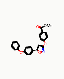 COC(=O)c1ccc(OC2=NO[C@@H](c3ccc(Oc4ccccc4)cc3)C2)cc1